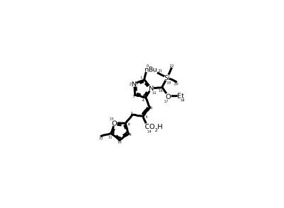 CCCCc1ncc(C=C(Cc2ccc(C)o2)C(=O)O)n1C(OCC)[Si](C)(C)C